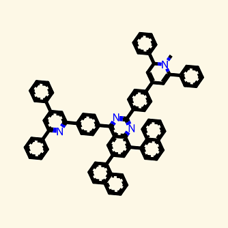 CN1C(c2ccccc2)=CC(c2ccc(-c3nc(-c4ccc(-c5cc(-c6ccccc6)cc(-c6ccccc6)n5)cc4)c4cc(-c5cccc6ccccc56)cc(-c5cccc6ccccc56)c4n3)cc2)=CC1c1ccccc1